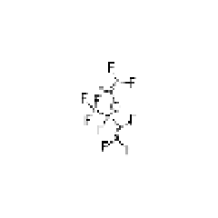 FC(F)=C(F)OC(F)(C(F)=C(F)F)C(F)(F)F